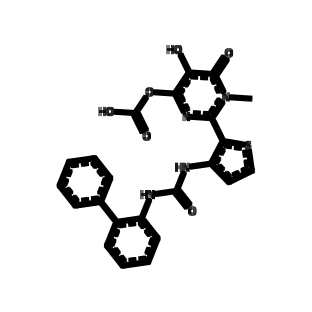 Cn1c(-c2sccc2NC(=O)Nc2ccccc2-c2ccccc2)nc(OC(=O)O)c(O)c1=O